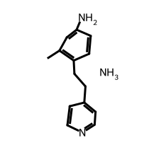 Cc1cc(N)ccc1CCc1ccncc1.N